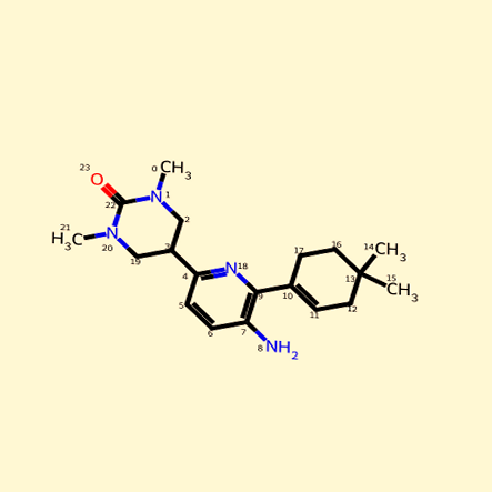 CN1CC(c2ccc(N)c(C3=CCC(C)(C)CC3)n2)CN(C)C1=O